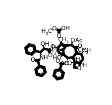 CC(=O)O[C@H]1C(=O)[C@@]2(C)[C@H]([C@H](OC(=O)c3ccccc3)[C@]3(O)C[C@H](OC(=O)[C@H](O)[C@@H](NC(=O)c4ccccc4)c4ccccc4)C(C)=C1C3(C)C)[C@]1(OC(C)=O)CO[C@@H]1C[C@@H]2O.COC(=O)O